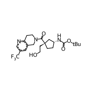 CC(C)(C)OC(=O)N[C@@H]1CC[C@](CCO)(C(=O)N2CCc3ncc(C(F)(F)F)cc3C2)C1